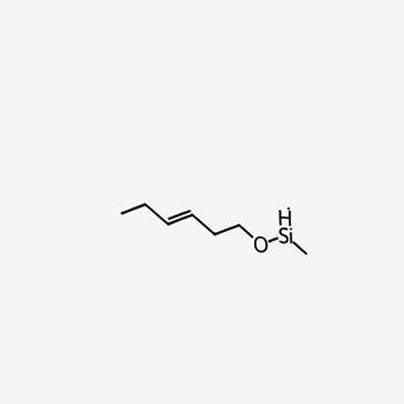 CCC=CCCO[SiH](C)C